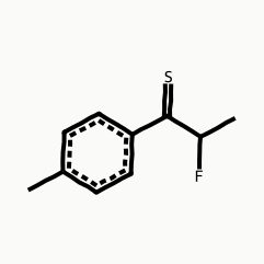 Cc1ccc(C(=S)C(C)F)cc1